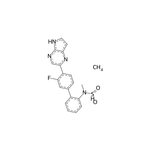 C.CN(c1ccccc1-c1ccc(-c2cnc3[nH]ccc3n2)c(F)c1)[SH](=O)=O